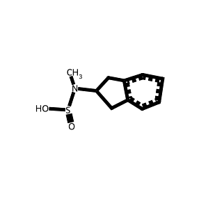 CN(C1Cc2ccccc2C1)S(=O)O